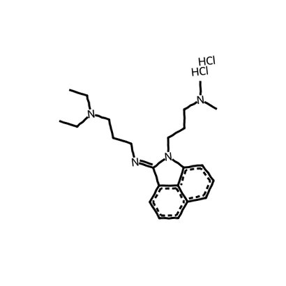 CCN(CC)CCC/N=C1/c2cccc3cccc(c23)N1CCCN(C)C.Cl.Cl